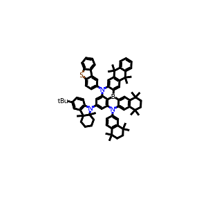 CC(C)(C)c1ccc2c(c1)C1(C)CCCCC1(C)N2c1cc2c3c(c1)N(c1ccc4sc5ccccc5c4c1)c1cc4c(cc1B3c1cc3c(cc1N2c1ccc2c(c1)C(C)(C)CCC2(C)C)C(C)(C)CCC3(C)C)C(C)(C)c1ccccc1C4(C)C